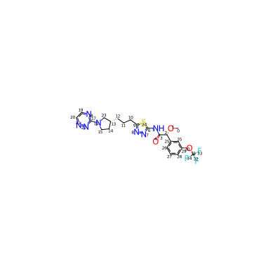 CO[C@@H](C(=O)Nc1nnc(CCC[C@@H]2CCN(c3nccnn3)C2)s1)c1cccc(OC(F)(F)F)c1